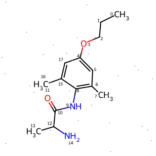 CCCOc1cc(C)c(NC(=O)C(C)N)c(C)c1